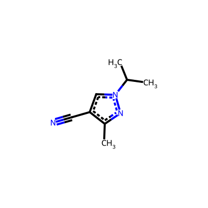 Cc1nn(C(C)C)cc1C#N